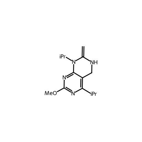 C=C1NCc2c(C(C)C)nc(OC)nc2N1C(C)C